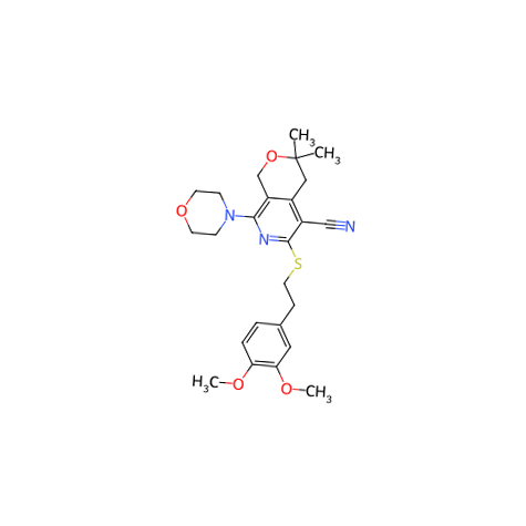 COc1ccc(CCSc2nc(N3CCOCC3)c3c(c2C#N)CC(C)(C)OC3)cc1OC